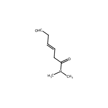 CN(C)C(=O)CC=CCC=O